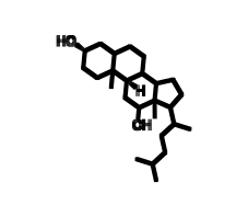 CC(C)CCC(C)C1CCC2C3CCC4C[C@H](O)CCC4(C)[C@H]3CC(O)C12C